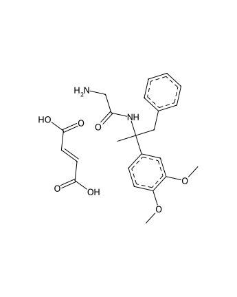 COc1ccc(C(C)(Cc2ccccc2)NC(=O)CN)cc1OC.O=C(O)C=CC(=O)O